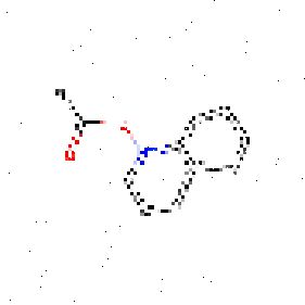 CCC(=O)O[n+]1cccc2ccccc21